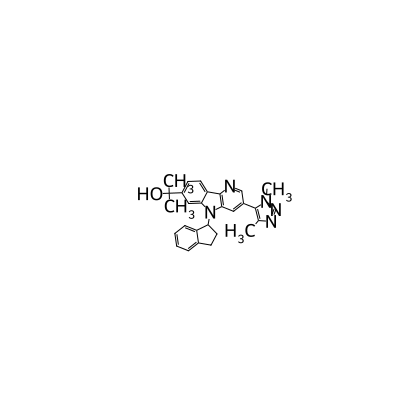 Cc1nnn(C)c1-c1cnc2c3ccc(C(C)(C)O)cc3n(C3CCc4ccccc43)c2c1